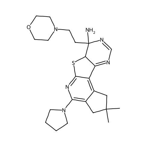 CC1(C)Cc2c(N3CCCC3)nc3c(c2C1)C1=NC=NC(N)(CCN2CCOCC2)C1S3